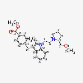 COC[C@@H]1CCCN1CCn1c(C)c(Cc2ccc(C(=O)OC)cc2)c2ccccc21